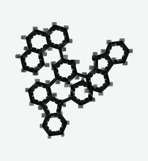 c1ccc(-n2c3ccccc3c3cccc(-c4nc(-c5cccc6c5oc5ccccc56)nc(-c5cccc6ccc7ccccc7c56)n4)c32)cc1